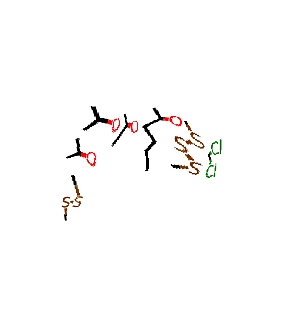 CC(C)=O.CC(C)=O.CC(C)=O.CCCCC(C)=O.CSSC.CSSSC.ClCCl